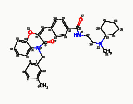 Cc1cccc(CN2C(=O)/C(=C\c3ccc(C(=O)NCCN(C)C4CCCCC4)cc3)Oc3ccccc32)c1